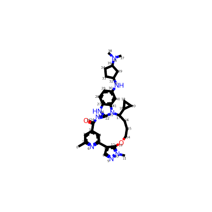 Cc1cc2cc(n1)-c1cnn(C)c1OCCCC(C1CC1)N1/C(=N/C2=O)Nc2ccc(NC3CCC(N(C)C)C3)cc21